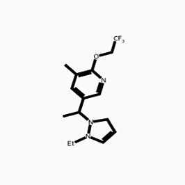 CCN1C=CCN1C(C)c1cnc(OCC(F)(F)F)c(C)c1